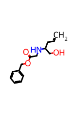 C=CCC(CO)NCC(=O)OCc1ccccc1